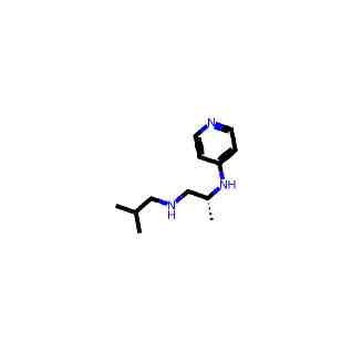 CC(C)CNC[C@@H](C)Nc1ccncc1